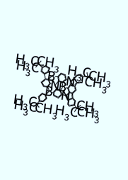 CC(C)(C)c1ccc(B2c3ccc4c5c3N3c6c2ccc2c6B6c7c(ccc(c73)B5c3ccc(C(C)(C)C)cc3-4)-n3c4ccc(C(C)(C)C)cc4c4cc5c7cc(C(C)(C)C)ccc7n-2c5c6c43)cc1